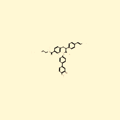 CC(C)(C)/C=C/c1ccc(C(Cc2ccc(C(=O)NCCS(=O)(=O)O)cc2)C(=O)Nc2ccc(-c3ccc(C(F)(F)F)c(Cl)c3)cc2)cc1